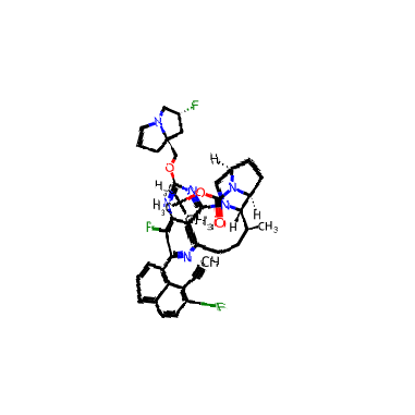 C#Cc1c(F)ccc2cccc(-c3nc4c5c(nc(OC[C@@]67CCCN6C[C@H](F)C7)nc5c3F)N3C[C@H]5CC[C@@H]([C@@H]3[C@@H](C)CC4)N5C(=O)OC(C)(C)C)c12